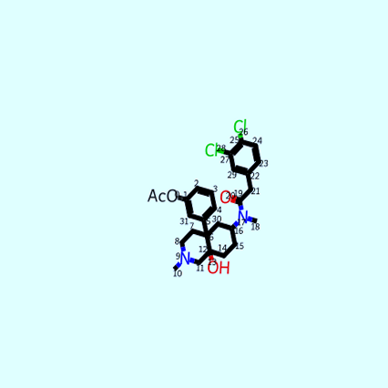 CC(=O)Oc1cccc(C23CCN(C)CC2(O)CCC(N(C)C(=O)Cc2ccc(Cl)c(Cl)c2)C3)c1